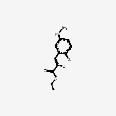 CCOC(=O)/C(Cl)=C/c1cc(NN)ccc1Cl